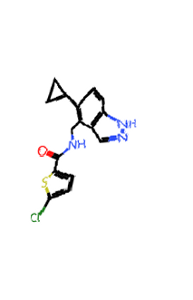 O=C(NCc1c(C2CC2)ccc2[nH]ncc12)c1ccc(Cl)s1